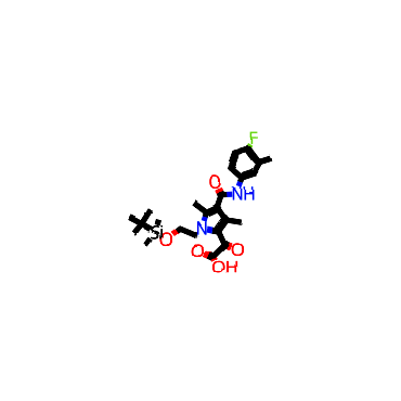 Cc1cc(NC(=O)c2c(C)c(C(=O)C(=O)O)n(CCO[Si](C)(C)C(C)(C)C)c2C)ccc1F